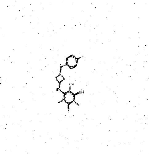 Cn1c(NC2CN(Cc3ccc(F)cc3)C2)c(C#N)c(=N)n(C)c1=S